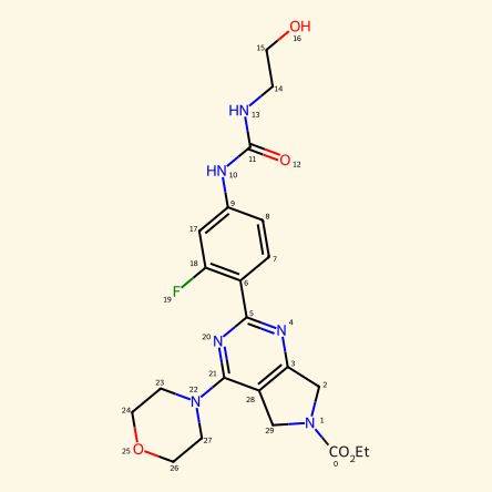 CCOC(=O)N1Cc2nc(-c3ccc(NC(=O)NCCO)cc3F)nc(N3CCOCC3)c2C1